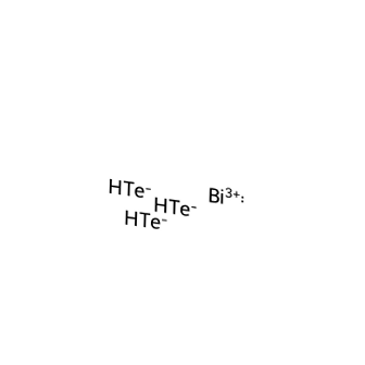 [Bi+3].[TeH-].[TeH-].[TeH-]